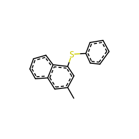 Cc1cc(Sc2ccccc2)c2ccccc2c1